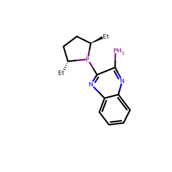 CC[C@@H]1CC[C@@H](CC)P1c1nc2ccccc2nc1P